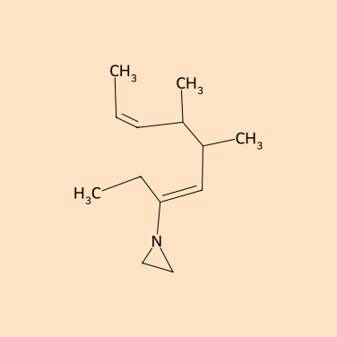 C/C=C\C(C)C(C)/C=C(\CC)N1CC1